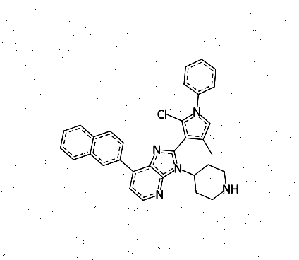 Cc1cn(-c2ccccc2)c(Cl)c1-c1nc2c(-c3ccc4ccccc4c3)ccnc2n1C1CCNCC1